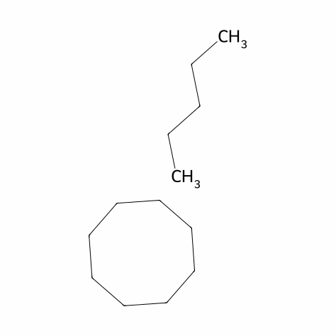 C1CCCCCCC1.CCCCC